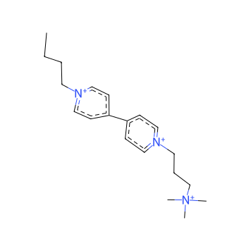 CCCC[n+]1ccc(-c2cc[n+](CCC[N+](C)(C)C)cc2)cc1